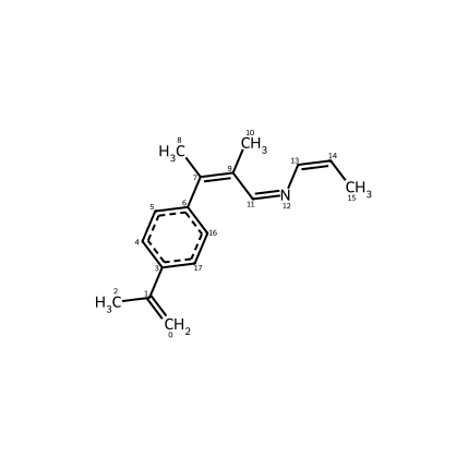 C=C(C)c1ccc(\C(C)=C(C)/C=N\C=C/C)cc1